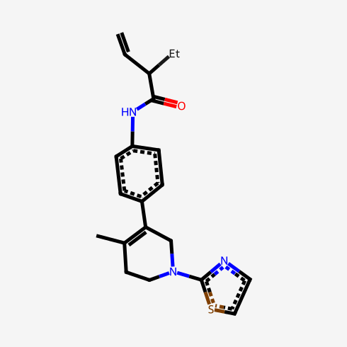 C=CC(CC)C(=O)Nc1ccc(C2=C(C)CCN(c3nccs3)C2)cc1